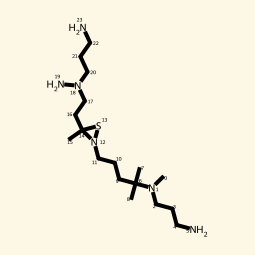 CN(CCCN)C(C)(C)CCCN1SC1(C)CCN(N)CCCN